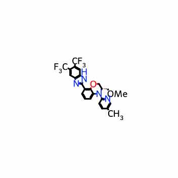 COC[C@H]1COc2c(-c3nc4cc(C(F)(F)F)c(C(F)(F)F)cc4[nH]3)cccc2N1c1ccc(C)cn1